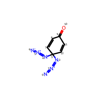 [N-]=[N+]=NC1(N=[N+]=[N-])C=CC(=O)C=C1